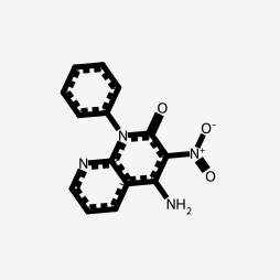 Nc1c([N+](=O)[O-])c(=O)n(-c2ccccc2)c2ncccc12